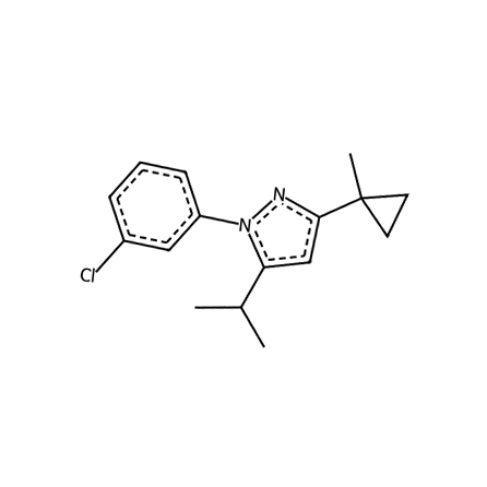 CC(C)c1cc(C2(C)CC2)nn1-c1cccc(Cl)c1